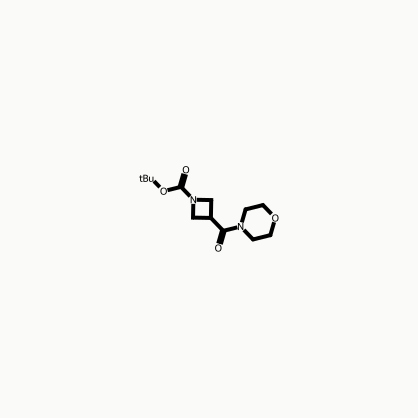 CC(C)(C)OC(=O)N1CC(C(=O)N2CCOCC2)C1